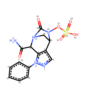 NC(=O)C1c2c(cnn2-c2ccccc2)C2CN1C(=O)N2OS(=O)(=O)O